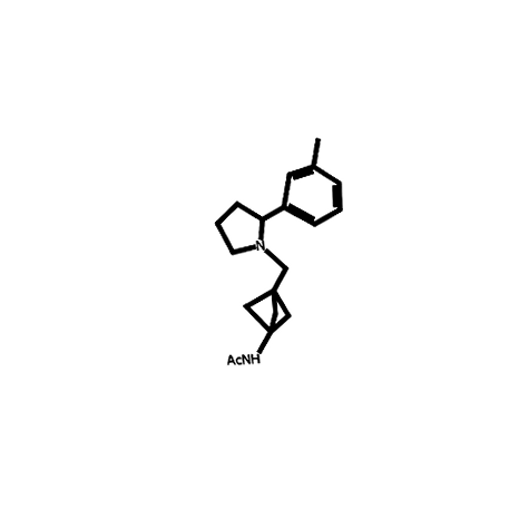 CC(=O)NC12CC(CN3CCCC3c3cccc(C)c3)(C1)C2